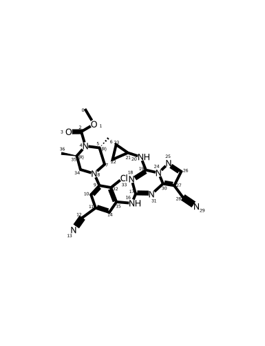 COC(=O)N1[C@H](C)CN(c2cc(C#N)cc(Nc3nc(NC4CC4)n4ncc(C#N)c4n3)c2Cl)C[C@H]1C